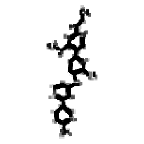 CCNc1ncc(-c2ccc(Oc3ccnc(-c4ccc(C)nc4)c3)c(C)n2)c(OC)n1